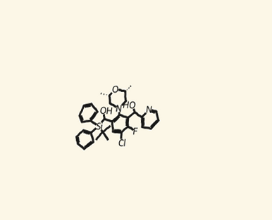 C[C@@H]1CN(c2c(C(O)[Si](c3ccccc3)(c3ccccc3)C(C)(C)C)cc(Cl)c(F)c2C(O)c2ccccn2)C[C@H](C)O1